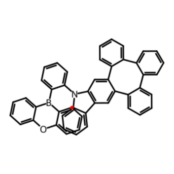 c1ccc2c(c1)Oc1ccccc1B2c1ccccc1-n1c2ccccc2c2cc3c(cc21)-c1ccccc1-c1ccccc1-c1ccccc1-3